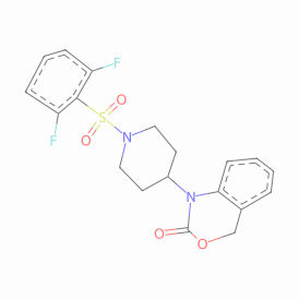 O=C1OCc2ccccc2N1C1CCN(S(=O)(=O)c2c(F)cccc2F)CC1